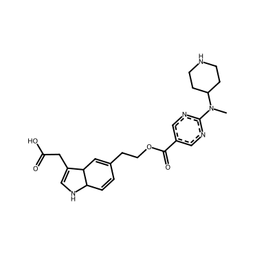 CN(c1ncc(C(=O)OCCC2=CC3C(CC(=O)O)=CNC3C=C2)cn1)C1CCNCC1